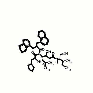 CC[C@H](C)[C@@H](CO)NC(=O)C[C@H](O)[C@H](CC(C)C)N(C(=O)C(N)CC1CCCC1)C(=O)C(Cc1cccc2ccccc12)Cc1cccc2ccccc12